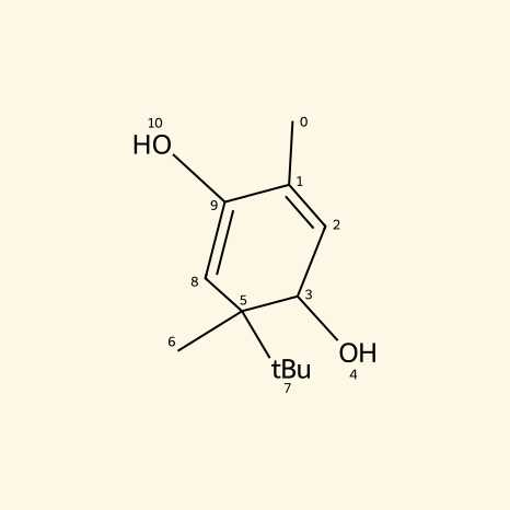 CC1=CC(O)C(C)(C(C)(C)C)C=C1O